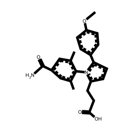 COc1ccc(-c2ccc(CCC(=O)O)n2-c2c(C)cc(C(N)=O)cc2C)cc1